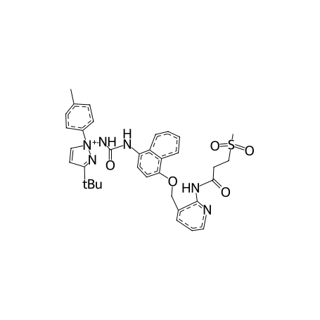 Cc1ccc([N+]2(NC(=O)Nc3ccc(OCc4cccnc4NC(=O)CCS(C)(=O)=O)c4ccccc34)C=CC(C(C)(C)C)=N2)cc1